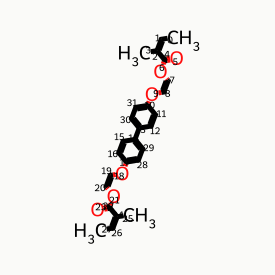 C/C=C(/C)C(=O)O/C=C\Oc1ccc(-c2ccc(O/C=C\OC(=O)/C(C)=C\C)cc2)cc1